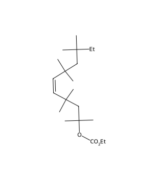 CCOC(=O)OC(C)(C)CC(C)(C)/C=C\C(C)(C)CC(C)(C)CC